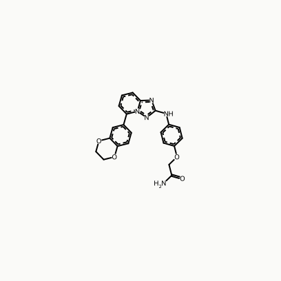 NC(=O)COc1ccc(Nc2nc3cccc(-c4ccc5c(c4)OCCO5)n3n2)cc1